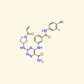 C=CC(=O)N1CCC(Nc2nnc(C(N)=O)c(Nc3cccc(C(=O)Nc4ccc(C(C)C)c(C)c4)c3)n2)C1